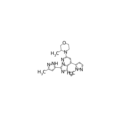 Cc1cc(-c2nc(Cl)c3c(-c4ccnn4C)cc(N4CCOCC4C)nn23)[nH]n1